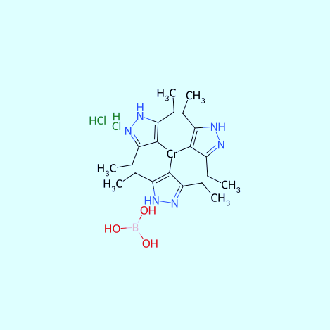 CCc1n[nH]c(CC)[c]1[Cr]([c]1c(CC)n[nH]c1CC)[c]1c(CC)n[nH]c1CC.Cl.Cl.OB(O)O